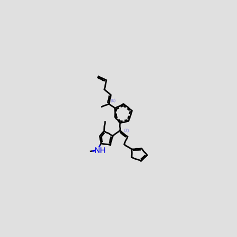 C=CC/C=C(\C)c1cccc(/C(=C/CC2=CC=CC2)C2=CC(NC)=C=C2C)c1